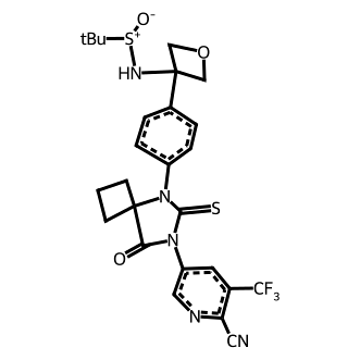 CC(C)(C)[S+]([O-])NC1(c2ccc(N3C(=S)N(c4cnc(C#N)c(C(F)(F)F)c4)C(=O)C34CCC4)cc2)COC1